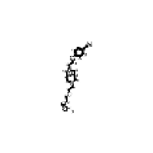 COCCOCCN1CC2CN(CCOc3ccc(C#N)cc3)CC(C1)O2